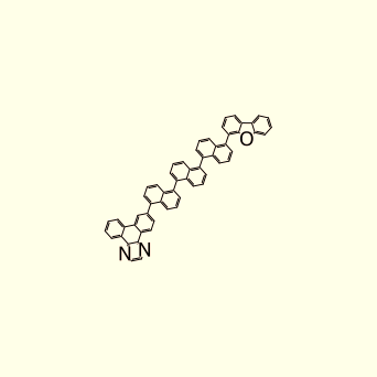 c1ccc2c(c1)oc1c(-c3cccc4c(-c5cccc6c(-c7cccc8c(-c9ccc%10c(c9)c9ccccc9c9nccnc%109)cccc78)cccc56)cccc34)cccc12